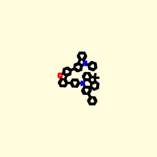 CC1(C)C2=C(CCC=C2)c2c(N(c3c#cc(-c4ccccc4)cc3)c3ccc(-c4cccc5oc6ccc(-c7ccc8c(c7)c7ccccc7n8-c7ccccc7)cc6c45)cc3)cccc21